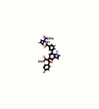 CNC(=O)c1c(-c2ccc(F)cc2)oc2c1cc(-c1cccc(C(=O)NC3(C(=O)OC)CCC3)c1)c1[nH]ccc12